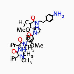 CCC(C)C([C@@H](CC(=O)N1CCC[C@H]1C(OC)C(C)C(=O)NCCc1ccc(N)cc1)OC)N(C)C(=O)[C@@H](NC(=O)C(C(C)C)N(C)C)C(C)C